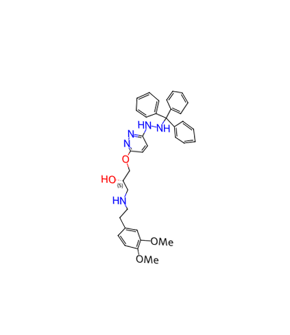 COc1ccc(CCNC[C@H](O)COc2ccc(NNC(c3ccccc3)(c3ccccc3)c3ccccc3)nn2)cc1OC